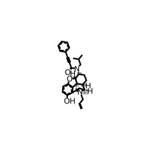 C=CCN1CC[C@@]23c4c5ccc(O)c4C[C@@H]1[C@@H]2CC[C@@H](N(CC(C)C)C(=O)C#Cc1ccccc1)[C@@H]3O5